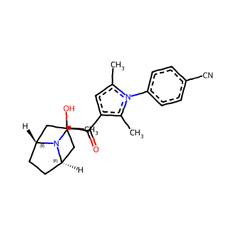 Cc1cc(C(=O)CN2[C@@H]3CC[C@@H]2CC(C)(O)C3)c(C)n1-c1ccc(C#N)cc1